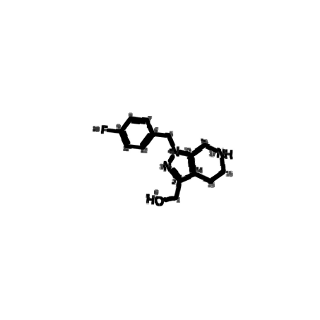 OCc1nn(Cc2ccc(F)cc2)c2c1CCNC2